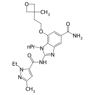 CCCn1c(NC(=O)c2cc(C)nn2CC)nc2cc(C(N)=O)cc(OCCC3(C)COC3)c21